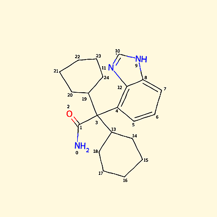 NC(=O)C(c1cccc2[nH][c]nc12)(C1CCCCC1)C1CCCCC1